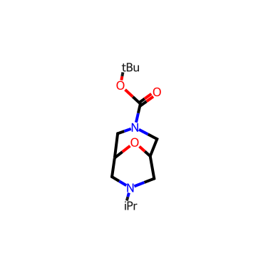 CC(C)N1CC2CN(C(=O)OC(C)(C)C)CC(C1)O2